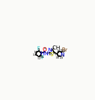 Cc1nc(NC(=O)c2c(F)cccc2F)sc1-c1ccnc(Br)c1